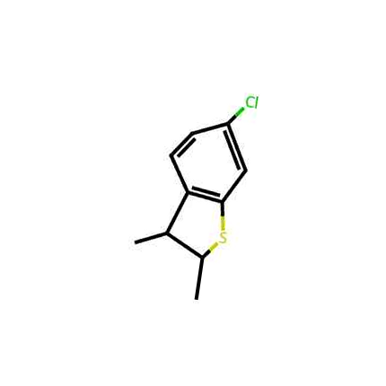 CC1Sc2cc(Cl)ccc2C1C